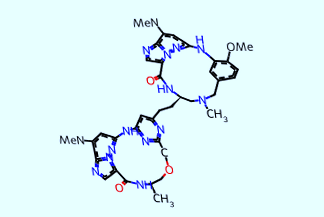 CNc1cc2nn3c(cnc13)C(=O)N[C@H](CCc1cc3nc(n1)COC[C@@H](C)NC(=O)c1cnc4c(NC)cc(nn14)N3)CN(C)Cc1ccc(OC)c(c1)N2